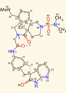 CCC1(C(=O)N(CC(=O)Nc2ccc3c(c2)C[C@@]2(C3)C(=O)Nc3ncccc32)Cc2ccccc2CNC)CCN(S(=O)(=O)N(C)C)CC1